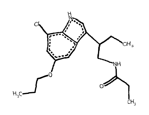 CCCOc1cc(Cl)c2[nH]cc(C(CC)CNC(=O)CC)c2c1